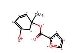 COC1(OC(=O)c2ccco2)C=CC=C(O)C1